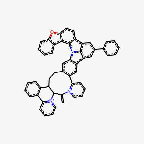 C=C1C2C(CCc3cc4c(cc3-c3cccc[n+]31)c1cc(-c3ccccc3)cc3c5ccc6oc7ccccc7c6c5n4c13)c1ccccc1-c1cccc[n+]12